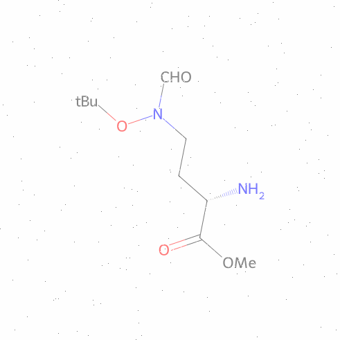 COC(=O)[C@@H](N)CCN(C=O)OC(C)(C)C